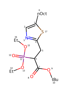 CCCCCCCCc1cnc(CC(C(=O)OC(C)(C)C)P(=O)(OCC)OCC)s1